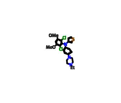 CCN1CCN(c2ccc(N(c3ccsc3)c3c(Cl)c(OC)cc(OC)c3Cl)cc2)CC1